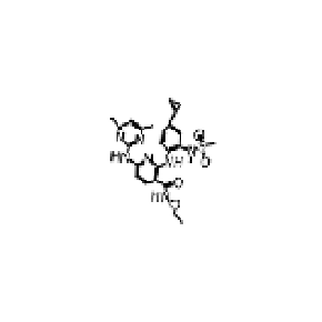 CCONC(=O)c1ccc(Nc2nc(C)cc(C)n2)nc1Nc1ccc(C2CC2)cc1N(C)S(C)(=O)=O